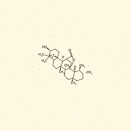 C[C@H]1[C@H](C)CC[C@]2(C)CC[C@]3(C)C(=C4OC(=O)C4[C@@H]4[C@@]5(C)CC[C@H](O)C(C)(C)C5CC[C@]43C)[C@H]12